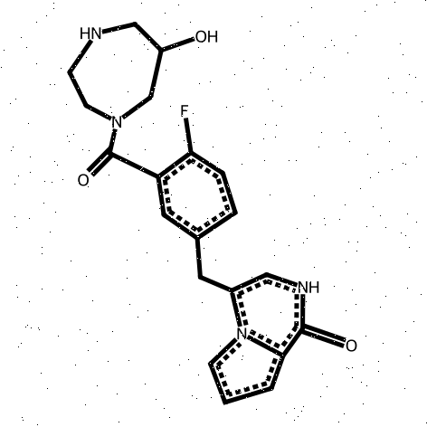 O=C(c1cc(Cc2c[nH]c(=O)c3cccn23)ccc1F)N1CCNCC(O)C1